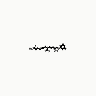 CC(=O)C(CC#CCCCC(=O)O)CCCC(O)COc1cccc(F)c1